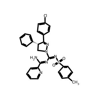 Cc1ccc(S(=O)(=O)/N=C(\N=C(/N)c2ccccn2)N2C[C@H](c3ccccc3)C(c3ccc(Cl)cc3)=N2)cc1